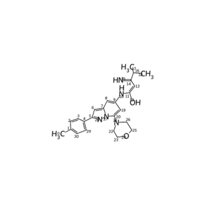 Cc1ccc(-c2cc3cc(N/C(O)=C\C(=N)C(C)C)cc(N4CCOCC4)n3n2)cc1